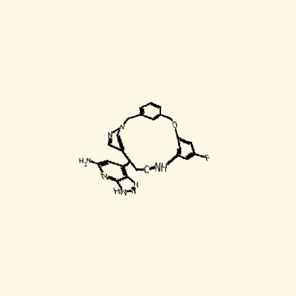 Nc1cc(C2CCNCc3cc(F)cc(c3)OCc3cccc(c3)Cn3cc2cn3)c2nn[nH]c2n1